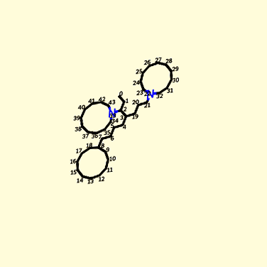 CCC(C(CCCCC1CCCCCCCCCC1)CCCN1CCCCCCCCCC1)N1CCCCCCCCCC1